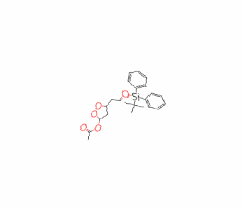 CC(=O)OC1CC(CCO[Si](c2ccccc2)(c2ccccc2)C(C)(C)C)OO1